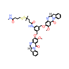 CNC(=O)CCCSSC(C)(C)CCC(=O)Nc1cc(COc2cc3c(cc2OC)C(=O)N2c4ccccc4C[C@H]2C=N3)cc(COc2cc3c(cc2OC)C(=O)N2c4ccccc4C[C@H]2C=N3)c1